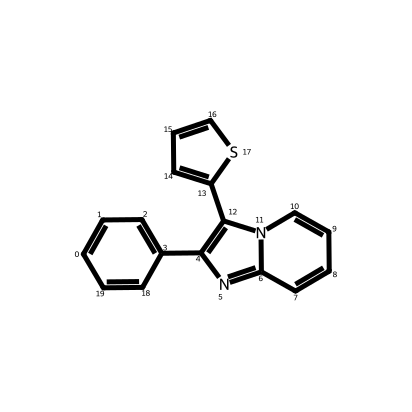 c1ccc(-c2nc3ccccn3c2-c2cccs2)cc1